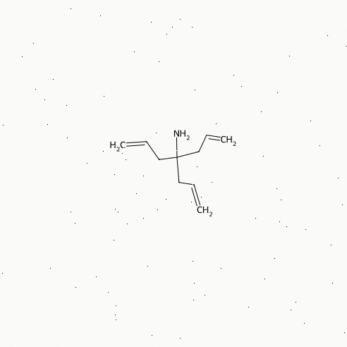 C=CCC(N)(CC=C)CC=C